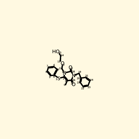 Cc1c(Sc2ccccc2)n(COCCO)c(=O)n(Cc2ccccc2)c1=O